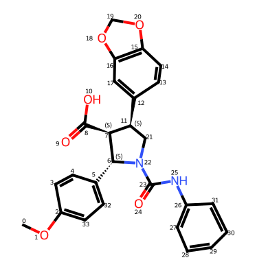 COc1ccc([C@@H]2[C@@H](C(=O)O)[C@@H](c3ccc4c(c3)OCO4)CN2C(=O)Nc2ccccc2)cc1